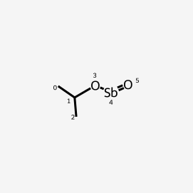 CC(C)[O][Sb]=[O]